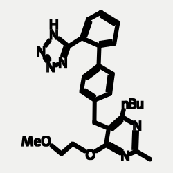 CCCCc1nc(C)nc(OCCOC)c1Cc1ccc(-c2ccccc2-c2nnn[nH]2)cc1